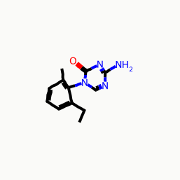 CCc1cccc(C)c1-n1cnc(N)nc1=O